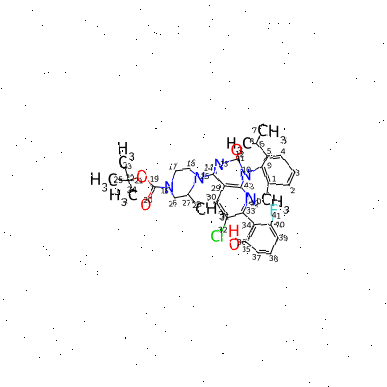 Cc1cccc(C(C)C)c1-n1c(=O)nc(N2CCN(C(=O)OC(C)(C)C)CC2C)c2cc(Cl)c(-c3c(O)cccc3F)nc21